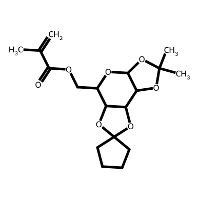 C=C(C)C(=O)OCC1OC2OC(C)(C)OC2C2OC3(CCCC3)OC12